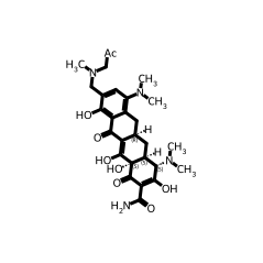 CC(=O)CN(C)Cc1cc(N(C)C)c2c(c1O)C(=O)C1=C(O)[C@]3(O)C(=O)C(C(N)=O)=C(O)[C@@H](N(C)C)[C@@H]3C[C@@H]1C2